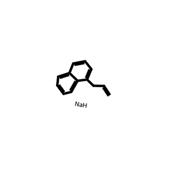 C=CCc1cccc2ccccc12.[NaH]